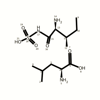 CC(C)C[C@H](N)C(=O)O.CC[C@@H](C)[C@H](N)C(=O)NS(=O)(=O)O